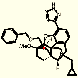 CO[C@]12CC[C@@]3(C[C@@H]1COCc1ccccc1)[C@H]1Cc4ccc(-c5nn[nH]n5)c5c4[C@@]3(CCN1CC1CC1)[C@H]2O5